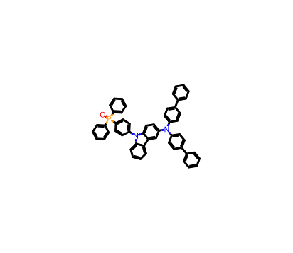 O=P(c1ccccc1)(c1ccccc1)c1ccc(-n2c3ccccc3c3cc(N(c4ccc(-c5ccccc5)cc4)c4ccc(-c5ccccc5)cc4)ccc32)cc1